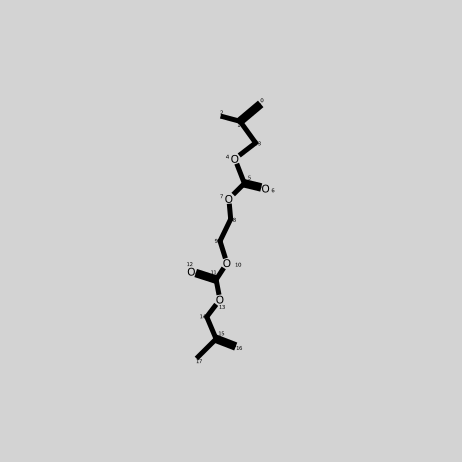 C=C(C)COC(=O)OCCOC(=O)OCC(=C)C